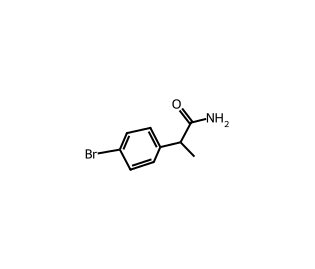 CC(C(N)=O)c1ccc(Br)cc1